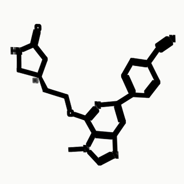 Cn1cnc2cc(-c3ccc(C#N)cc3)nc(OCC[C@H]3CNC(=O)C3)c21